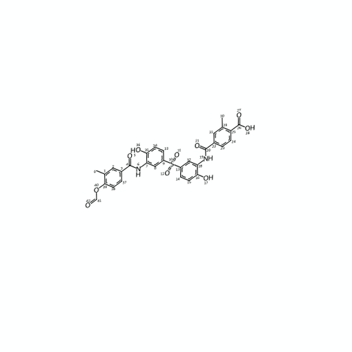 Cc1cc(C(=O)Nc2cc(S(=O)(=O)c3ccc(O)c(NC(=O)c4ccc(C(=O)O)c(C)c4)c3)ccc2O)ccc1OC=O